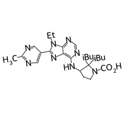 CCC(C)C1(C(C)CC)C(Nc2ncnc3c2nc(-c2cnc(C)nc2)n3CC)CCN1C(=O)O